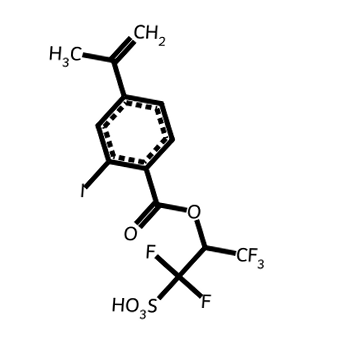 C=C(C)c1ccc(C(=O)OC(C(F)(F)F)C(F)(F)S(=O)(=O)O)c(I)c1